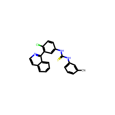 N#Cc1cccc(NC(=S)Nc2ccc(Cl)c(-c3nccc4ccccc34)c2)c1